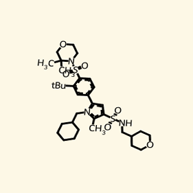 Cc1c(S(=O)(=O)NCC2CCOCC2)cc(-c2ccc(S(=O)(=O)N3CCOCC3(C)C)c(C(C)(C)C)c2)n1CC1CCCCC1